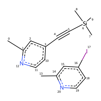 Cc1cc(C#C[Si](C)(C)C)ccn1.Cc1cc(I)ccn1